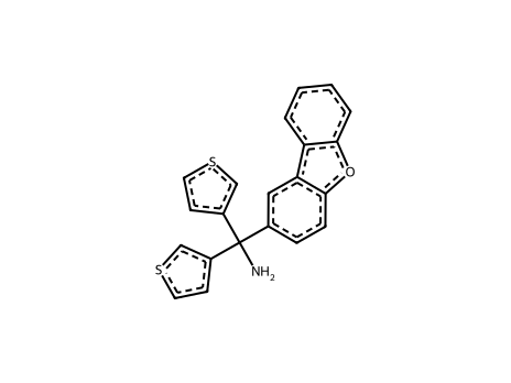 NC(c1ccsc1)(c1ccsc1)c1ccc2oc3ccccc3c2c1